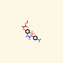 CCOC(=O)C(C)Oc1ccc2c(c1)N(C)C(=O)N(c1ccc(N(C)C)cc1)S2(=O)=O